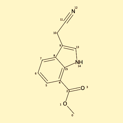 COC(=O)c1cccc2c(CC#N)c[nH]c12